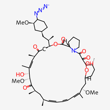 CO[C@H]1C[C@@H]2CC[C@@H](C)[C@@](O)(O2)C(=O)C(=O)N2CCCC[C@H]2C(=O)O[C@H]([C@H](C)C[C@@H]2CCC(N=[N+]=[N-])[C@H](OC)C2)CC(=O)[C@H](C)/C=C(\C)[C@@H](O)[C@@H](OC)C(=O)[C@H](C)C[C@H](C)/C=C/C=C/C=C/1C